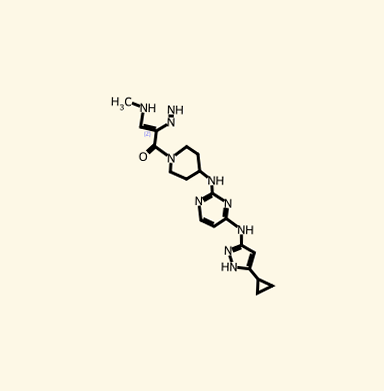 CN/C=C(\N=N)C(=O)N1CCC(Nc2nccc(Nc3cc(C4CC4)[nH]n3)n2)CC1